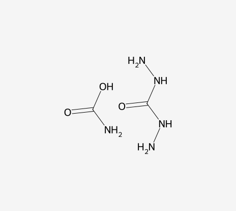 NC(=O)O.NNC(=O)NN